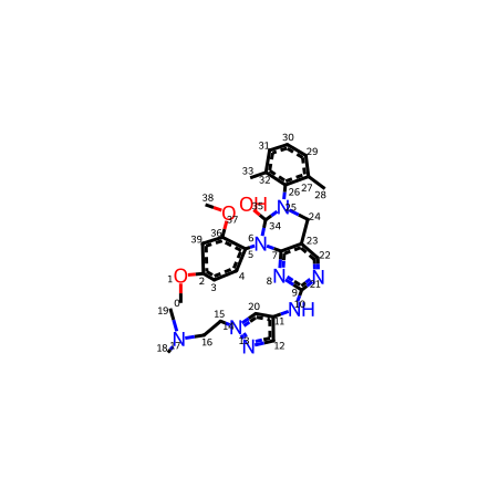 COc1ccc(N2c3nc(Nc4cnn(CCN(C)C)c4)ncc3CN(c3c(C)cccc3C)C2O)c(OC)c1